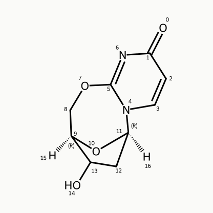 O=c1ccn2c(n1)OC[C@H]1O[C@@H]2CC1O